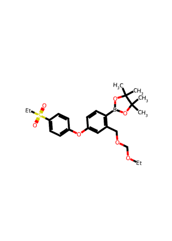 CCOCOCc1cc(Oc2ccc(S(=O)(=O)CC)cc2)ccc1B1OC(C)(C)C(C)(C)O1